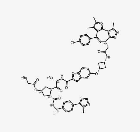 Cc1ncsc1-c1ccc([C@H](C)NC(=O)[C@@H]2C[C@@H](OC(=O)CC(C)(C)C)CN2C(=O)[C@@H](NC(=O)c2cc3cc(O[C@H]4C[C@@H](NC(=O)C[C@@H]5N=C(c6ccc(Cl)cc6)c6c(sc(C)c6C)-n6c(C)nnc65)C4)ccc3o2)C(C)(C)C)cc1